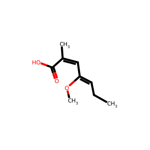 CCC=C(C=C(C)C(=O)O)OC